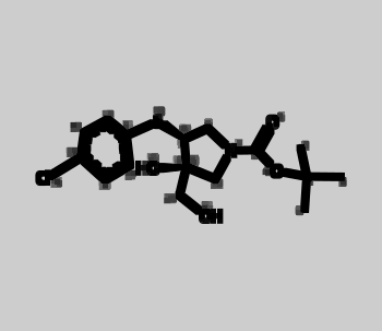 CC(C)(C)OC(=O)N1C[C@H](Sc2ccc(Cl)cc2)[C@@](O)(CO)C1